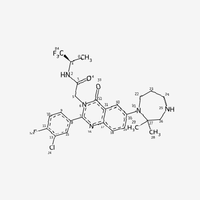 C[C@@H](NC(=O)Cn1c(-c2ccc(F)c(Cl)c2)nc2ccc(N3CCCNCC3(C)C)cc2c1=O)C(F)(F)F